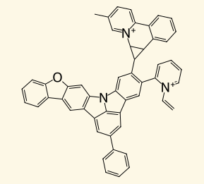 C=C[n+]1ccccc1-c1cc2c3cc(-c4ccccc4)cc4c5cc6c(cc5n(c2cc1C1C2c5ccccc5-c5ccc(C)c[n+]5C12)c34)oc1ccccc16